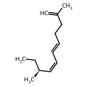 [CH]=C(C)CC/C=C/C=C\[C@@H](C)C[CH2]